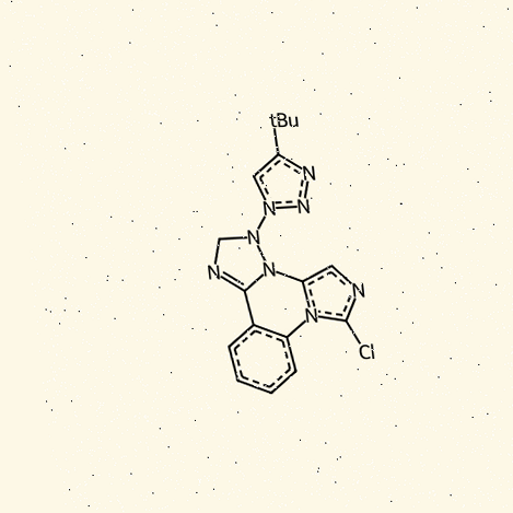 CC(C)(C)c1cn(N2CN=C3c4ccccc4-n4c(cnc4Cl)N32)nn1